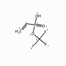 C=CP(=O)(O)OC(F)(F)F